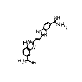 N=C(N)c1ccc2[nH]c(C=Cc3nc4cc(C(=N)N)ccc4[nH]3)nc2c1